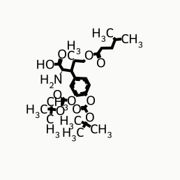 CC(C)CCC(=O)OCC(C)C(c1ccc(OC(=O)OC(C)(C)C)c(OC(=O)OC(C)(C)C)c1)[C@H](N)C(=O)O